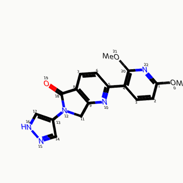 COc1ccc(-c2ccc3c(n2)CN(c2cn[nH]c2)C3=O)c(OC)n1